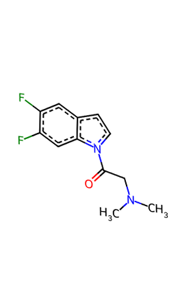 CN(C)CC(=O)n1ccc2cc(F)c(F)cc21